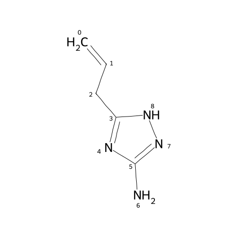 C=CCc1nc(N)n[nH]1